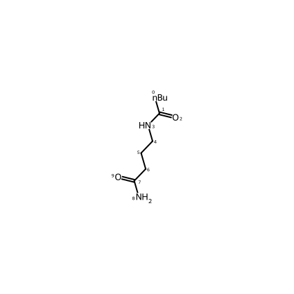 [CH2]CCCC(=O)NCCCC(N)=O